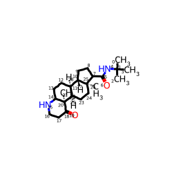 CC(C)(C)NC(=O)C1CC[C@H]2[C@@H]3CCC4NCCC(=O)[C@]4(C)[C@@H]3CC[C@]12C